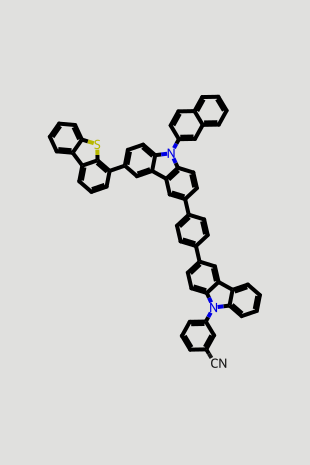 N#Cc1cccc(-n2c3ccccc3c3cc(-c4ccc(-c5ccc6c(c5)c5cc(-c7cccc8c7sc7ccccc78)ccc5n6-c5ccc6ccccc6c5)cc4)ccc32)c1